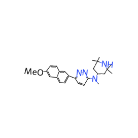 COc1ccc2cc(-c3ccc(N(C)C4CC(C)(C)NC(C)(C)C4)nn3)ccc2c1